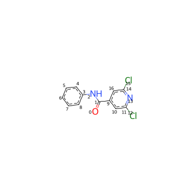 O=C(Nc1ccccc1)c1cc(Cl)nc(Cl)c1